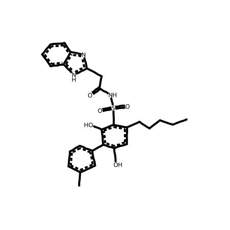 CCCCCc1cc(O)c(-c2cccc(C)c2)c(O)c1S(=O)(=O)NC(=O)Cc1nc2ccccc2[nH]1